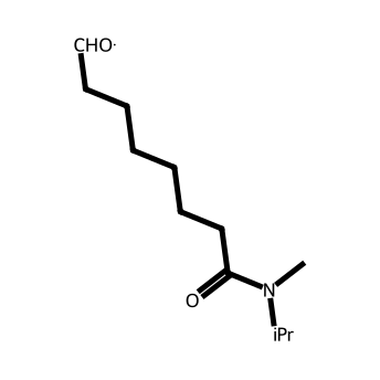 CC(C)N(C)C(=O)CCCCCC[C]=O